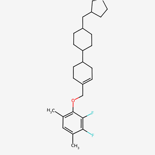 Cc1cc(C)c(OCC2=CCC(C3CCC(CC4CCCC4)CC3)CC2)c(F)c1F